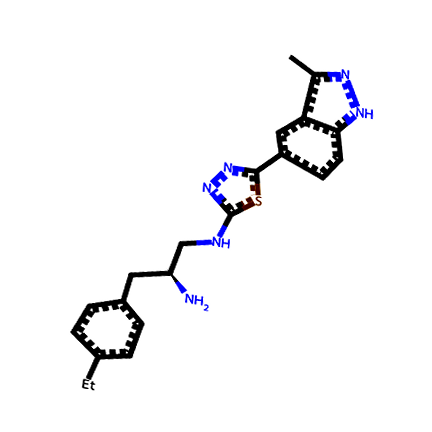 CCc1ccc(C[C@H](N)CNc2nnc(-c3ccc4[nH]nc(C)c4c3)s2)cc1